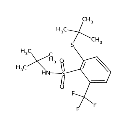 CC(C)(C)NS(=O)(=O)c1c(SC(C)(C)C)cccc1C(F)(F)F